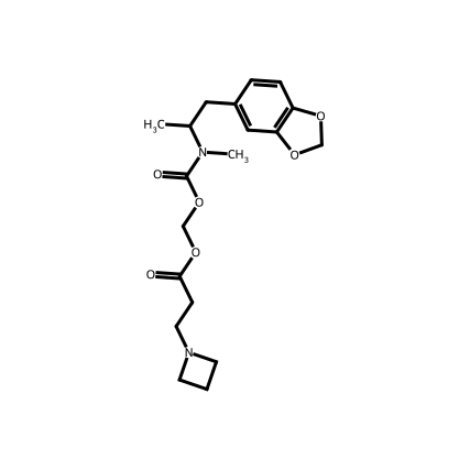 CC(Cc1ccc2c(c1)OCO2)N(C)C(=O)OCOC(=O)CCN1CCC1